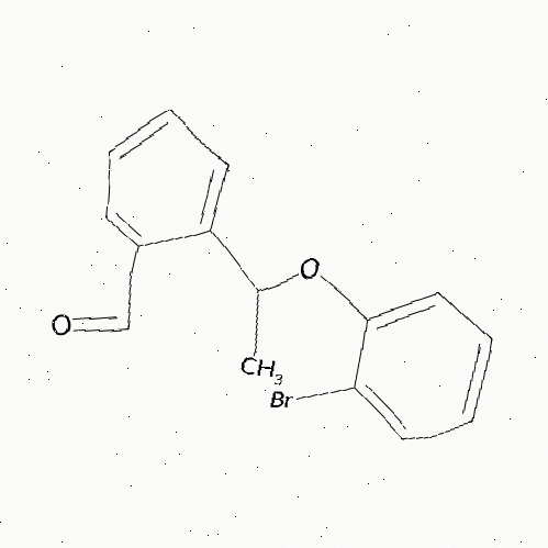 CC(Oc1ccccc1Br)c1ccccc1C=O